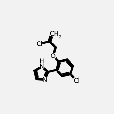 C=C(Cl)COc1ccc(Cl)cc1-c1ncc[nH]1